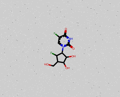 O=c1[nH]c(=O)n(C2C(O)C(O)C(CO)C2F)cc1F